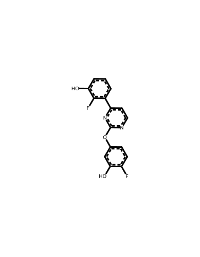 Oc1cc(Oc2nccc(-c3cccc(O)c3F)n2)ccc1F